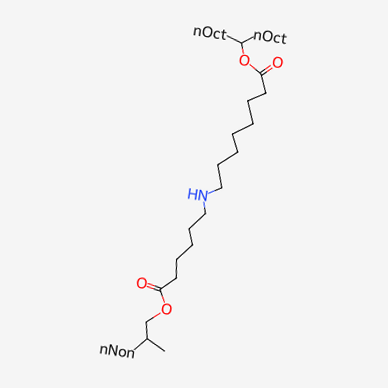 CCCCCCCCCC(C)COC(=O)CCCCCNCCCCCCCC(=O)OC(CCCCCCCC)CCCCCCCC